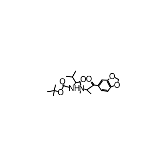 CC(C)[C@H](NC(=O)OC(C)(C)C)C(=O)N(C)C(C)C(=O)c1ccc2c(c1)OCO2